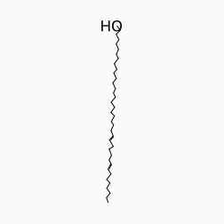 CCCCCCCC=CCCCCC=CCCCCCCCCCCCCCCCCCCCCCCO